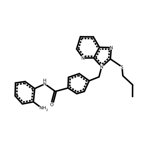 CCCSc1nc2cccnc2n1Cc1ccc(C(=O)Nc2ccccc2N)cc1